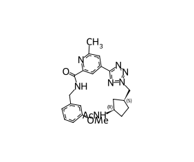 COc1cccc(CNC(=O)c2cc(-c3nnn(C[C@H]4CC[C@@H](NC(C)=O)C4)n3)cc(C)n2)c1